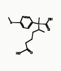 CSc1ccc(C(C)(C(=O)O)C(C)CCCC(=O)O)cc1